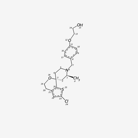 C[C@H]1C[C@@]2(CCN1Cc1ccc(OCCO)cc1)OCCc1cc(Cl)sc12